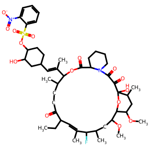 CCC1/C=C(\C)C(F)C(C)CC(OC)C2OC(O)(C(=O)C(=O)N3CCCCC3C(=O)OC(C(C)=CC3CCC(OS(=O)(=O)c4ccccc4[N+](=O)[O-])C(O)C3)C(C)CCC1=O)C(C)CC2OC